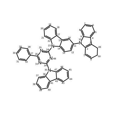 C1=Cc2c(c3ccccc3n2-c2ccc3c(c2)c2ccccc2n3-c2nc(-c3ccccc3)nc(-n3c4ccccc4c4ccccc43)n2)CC1